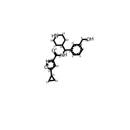 O=C(NC(c1cccc(CO)c1)C1CCNCC1)c1cc(C2CC2)on1